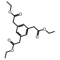 CCOC(=O)Cc1[c]c(CC(=O)OCC)cc(CC(=O)OCC)c1